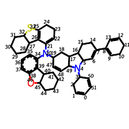 C1=CCC(N2C3C=C(C4=CCCC=C4)CCC3C3CC(N(C4=CCCC5=C4C4CCCCC4S5)c4cccc5c4C4CCCCC4O5)C=CC32)C=C1